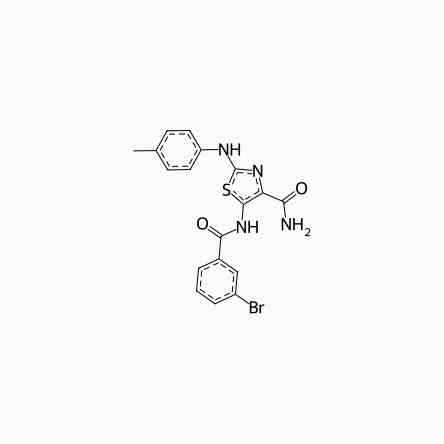 Cc1ccc(Nc2nc(C(N)=O)c(NC(=O)c3cccc(Br)c3)s2)cc1